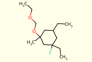 CCOCOC1(C)CC(CC)CC(F)(CC)C1